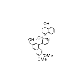 COc1cc2cc(CO)c(CO)c(-c3ccnc(N4CCC(O)c5ccccc54)c3)c2cc1OC